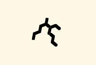 CCCCC(C)N(CC)OCCC